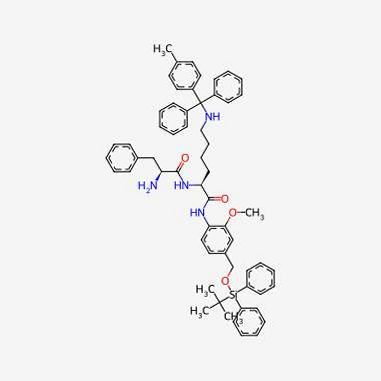 COc1cc(CO[Si](c2ccccc2)(c2ccccc2)C(C)(C)C)ccc1NC(=O)[C@H](CCCCNC(c1ccccc1)(c1ccccc1)c1ccc(C)cc1)NC(=O)[C@@H](N)Cc1ccccc1